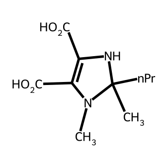 CCCC1(C)NC(C(=O)O)=C(C(=O)O)N1C